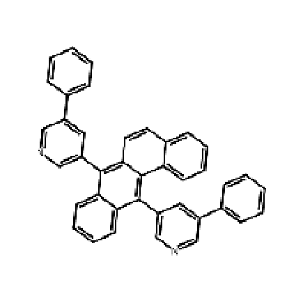 c1ccc(-c2cncc(-c3c4ccccc4c(-c4cncc(-c5ccccc5)c4)c4c3ccc3ccccc34)c2)cc1